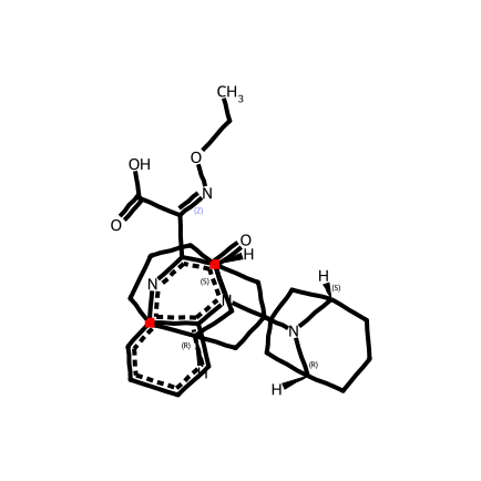 CCO/N=C(\C(=O)O)c1nc2ccccc2n(C2C[C@H]3CCC[C@@H](C2)N3C2C[C@H]3CCCC[C@@H](C2)C3)c1=O